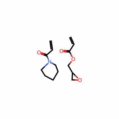 C=CC(=O)N1CCCCC1.C=CC(=O)OCC1CO1